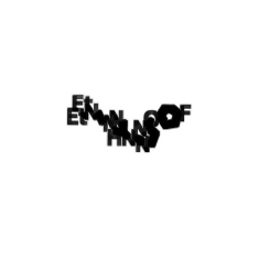 CCN(CC)CCn1cc(Nc2nccc(Oc3ccc(F)cc3)n2)cn1